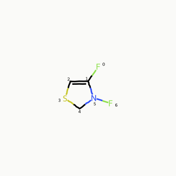 FC1=CSCN1F